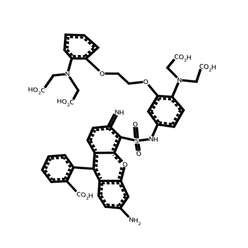 N=c1ccc2c(-c3ccccc3C(=O)O)c3ccc(N)cc3oc-2c1S(=O)(=O)Nc1ccc(N(CC(=O)O)CC(=O)O)c(OCCOc2ccccc2N(CC(=O)O)CC(=O)O)c1